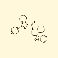 O=C(c1nc(N2CCOCC2)n2c1CCCC2)N1CCC(O)(c2ccccc2)C2CCCCC21